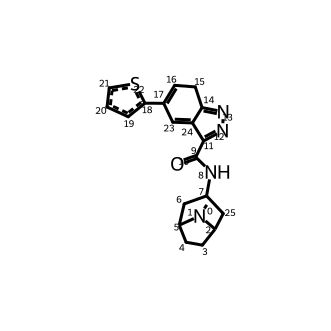 CN1C2CCC1CC(NC(=O)C1=NN=C3CC=C(c4cccs4)C=C31)C2